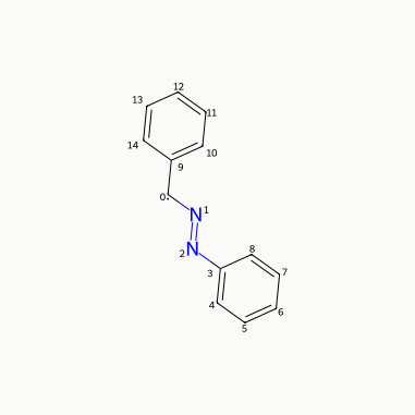 [CH](N=Nc1ccccc1)c1ccccc1